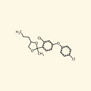 CCCC1COC(C)(c2ccc(Oc3ccc(Cl)cc3)cc2Cl)O1